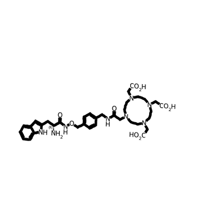 N[C@H](Cc1cc2ccccc2[nH]1)C(=O)NOCc1ccc(CNC(=O)CN2CCN(CC(=O)O)CCN(CC(=O)O)CCN(CC(=O)O)CC2)cc1